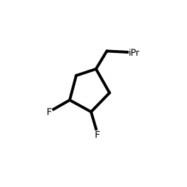 CC(C)CC1CC(F)C(F)C1